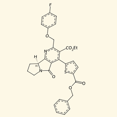 CCOC(=O)c1c(COc2ccc(F)cc2)nc2c(c1-c1ccc(C(=O)OCc3ccccc3)s1)C(=O)N1CCC[C@@H]21